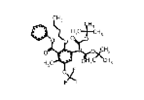 CCCCOc1c(N(C(=O)OC(C)(C)C)C(=O)OC(C)(C)C)cc(OC(F)(F)F)c(C)c1C(=O)Oc1ccccc1